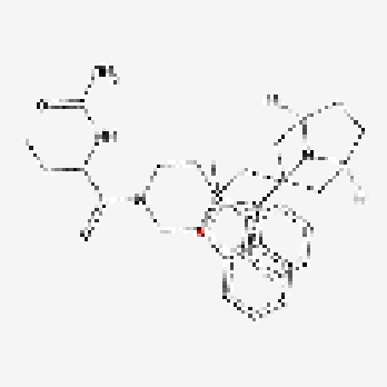 CCC(NC(N)=O)C(=O)N1CCC(CCN2[C@@H]3CC[C@H]2CC(n2c(C)nc4ccccc42)C3)(c2ccccc2)CC1